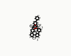 O=C1c2cccc(-n3c4c(-c5ccccc5C(F)(F)F)cccc4c4cccc(-c5ccccc5C(F)(F)F)c43)c2C(=O)N1c1ccc(-c2ccccc2)cc1